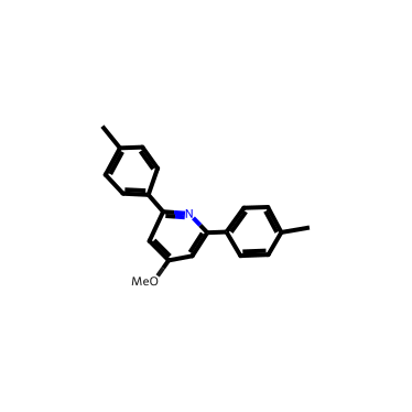 COc1cc(-c2ccc(C)cc2)nc(-c2ccc(C)cc2)c1